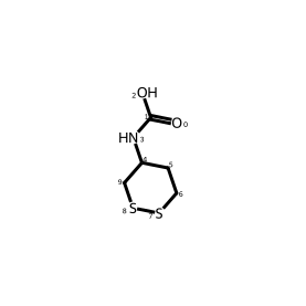 O=C(O)NC1CCSSC1